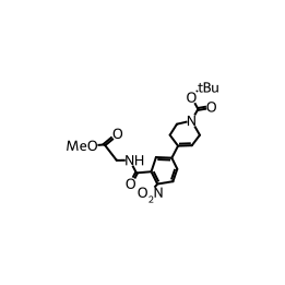 COC(=O)CNC(=O)c1cc(C2=CCN(C(=O)OC(C)(C)C)CC2)ccc1[N+](=O)[O-]